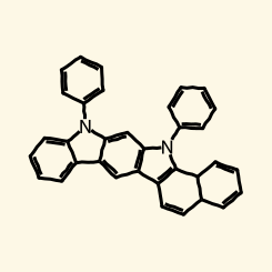 C1=CC2C=Cc3c(n(-c4ccccc4)c4cc5c(cc34)c3ccccc3n5-c3ccccc3)C2C=C1